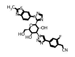 Cc1nc2ccc(-n3ncnc3[C@@H]3O[C@H](CO)[C@H](O)[C@H](n4cc(-c5ccc(CC#N)c(F)c5)nn4)[C@H]3O)cc2s1